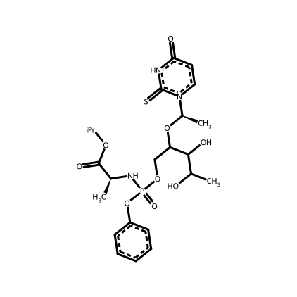 CC(C)OC(=O)[C@H](C)NP(=O)(OCC(O[C@H](C)n1ccc(=O)[nH]c1=S)C(O)C(C)O)Oc1ccccc1